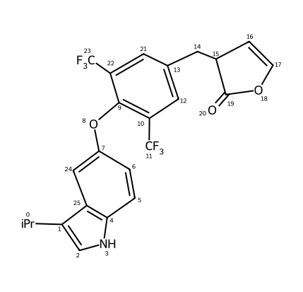 CC(C)c1c[nH]c2ccc(Oc3c(C(F)(F)F)cc(CC4C=COC4=O)cc3C(F)(F)F)cc12